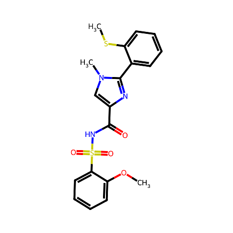 COc1ccccc1S(=O)(=O)NC(=O)c1cn(C)c(-c2ccccc2SC)n1